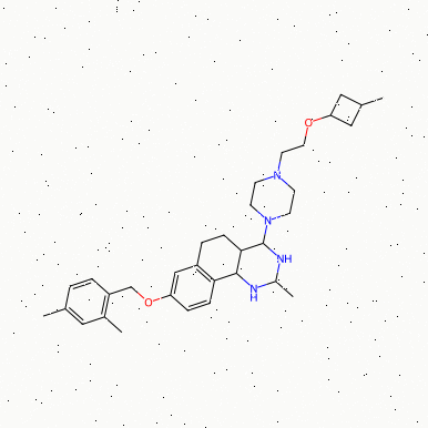 Cc1ccc(COc2ccc3c(c2)CCC2C3NC(C)NC2N2CCN(CCOC3CC(C)C3)CC2)c(C)c1